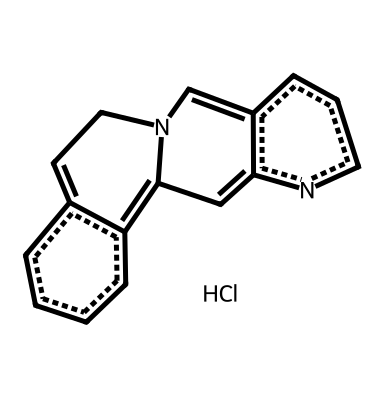 C1=c2ccccc2=C2C=c3ncccc3=CN2C1.Cl